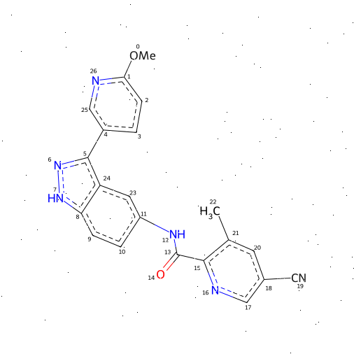 COc1ccc(-c2n[nH]c3ccc(NC(=O)c4ncc(C#N)cc4C)cc23)cn1